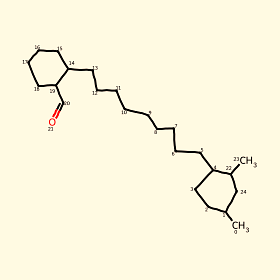 CC1CCC(CCCCCCCCCC2CCCCC2C=O)C(C)C1